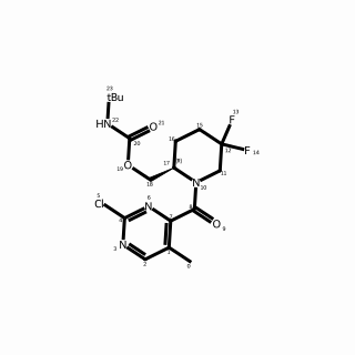 Cc1cnc(Cl)nc1C(=O)N1CC(F)(F)CC[C@@H]1COC(=O)NC(C)(C)C